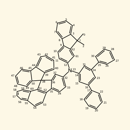 CC1(C)c2ccccc2-c2ccc(N(c3cc(-c4ccccc4)cc(-c4ccccc4)c3)c3ccc4c(c3)C3(c5ccccc5-c5ccccc53)c3c-4ccc4ccccc34)cc21